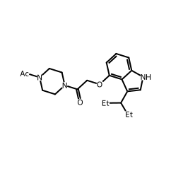 CCC(CC)c1c[nH]c2cccc(OCC(=O)N3CCN(C(C)=O)CC3)c12